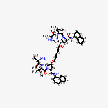 CN[C@@H](C)C(=O)NC(C(=O)N1C[C@@H](OCC#CC#CCO[C@H]2C[C@@H](C(=O)N[C@@H]3CCCc4ccccc43)N(C(=O)[C@@H](NC(=O)[C@@H](N)CO)C(C)(C)C)C2)C[C@H]1C(=O)N[C@@H]1CCCc2ccccc21)C(C)(C)C